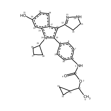 CC(OC(=O)Nc1ccc(-c2c(C3=NNCC3)c3ccc(O)cc3n2C2CCC2)cc1)C1CC1